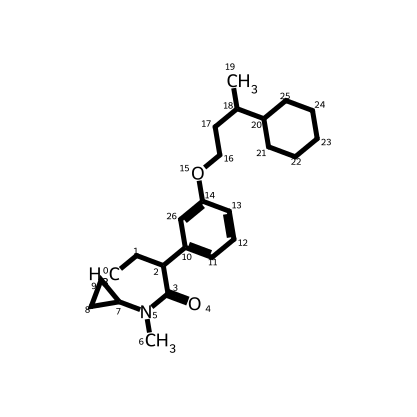 CCC(C(=O)N(C)C1CC1)c1cccc(OCCC(C)C2CCCCC2)c1